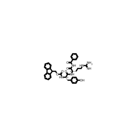 N=C(N)NCCC[C@H](NC(=O)[C@H](Cc1ccc(O)cc1)NC(=O)OCC1c2ccccc2-c2ccccc21)C(=O)NC(=O)c1ccccc1